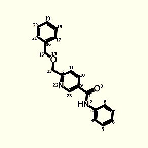 O=C(Nc1ccccc1)c1ccc(COCc2ccccc2)nc1